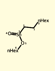 CCCCCCC[CH2][Sn](=[O])[O]CCCCCC